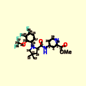 COC(=O)c1cc(NC(=O)C2CC(C)(C)CN2c2ccc(F)c(F)c2OC(F)F)ccn1